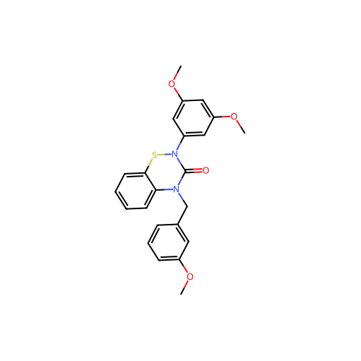 COc1cccc(CN2C(=O)N(c3cc(OC)cc(OC)c3)Sc3ccccc32)c1